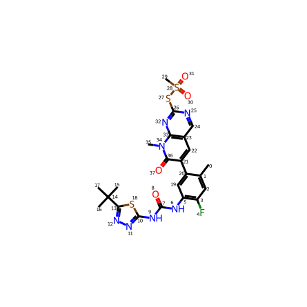 Cc1cc(F)c(NC(=O)Nc2nnc(C(C)(C)C)s2)cc1-c1cc2cnc(SS(C)(=O)=O)nc2n(C)c1=O